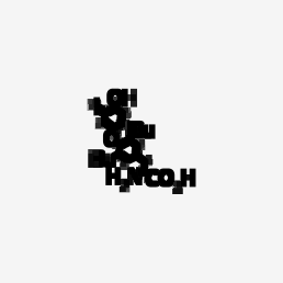 CCC(C)c1cc(C[C@H](N)C(=O)O)cc(C(C)CC)c1Oc1ccc(O)c(I)c1